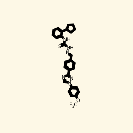 FC(F)(F)Oc1ccc(-n2cnc(-c3ccc(/C=N/NC(=S)Nc4ccccc4C4CCCC4)cc3)n2)cc1